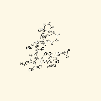 CCCC[C@H](NC(=O)[C@@H]1C(=C(Cl)Cl)C(C)CN1C(=O)[C@@H](NC(=O)NC1(C2CCCS2(=O)=O)CCCCC1)C(C)(C)C)C(=O)C(=O)NC1CC1